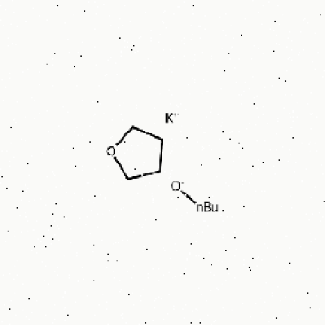 C1CCOC1.CCCC[O-].[K+]